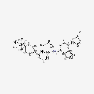 Cc1cn(-c2ccc(/C=C3\OCCN4C3=NCCN4c3ccc(S(F)(F)(F)(F)F)cc3)c3cnsc23)cn1